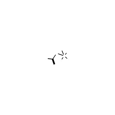 CC(=O)OP(N)(N)(O)Cl